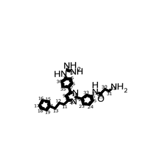 N=C(N)Nc1ccc(-c2cc(CCCc3ccccc3)nc(-c3cccc(NC(=O)CCN)c3)n2)cc1